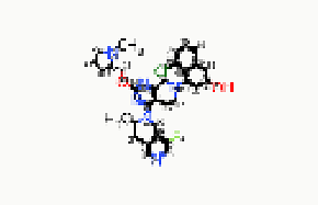 CC1Cc2cncc(F)c2CN1c1nc(OC[C@@H]2CCCN2C)nc2c1CCN(c1cc(O)cc3cccc(Cl)c13)C2